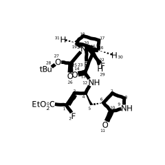 CCOC(=O)/C(F)=C/[C@H](C[C@@H]1CCNC1=O)NC(=O)[C@H]1[C@@H]2CC[C@@H](CC2(F)F)N1C(=O)OC(C)(C)C